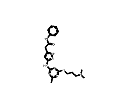 Cc1nc(Nc2cc(CC(=O)Nc3ccccc3)[nH]n2)nc(OCCCN(C)C)n1